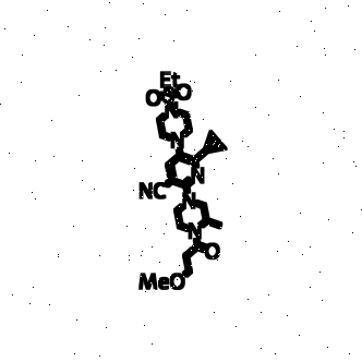 CCS(=O)(=O)N1CCN(c2cc(C#N)c(N3CCN(C(=O)CCOC)C(C)C3)nc2C2CC2)CC1